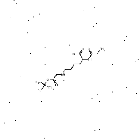 COC(=O)NC(CCCCNCC(=O)OC(C)(C)C)C(=O)O